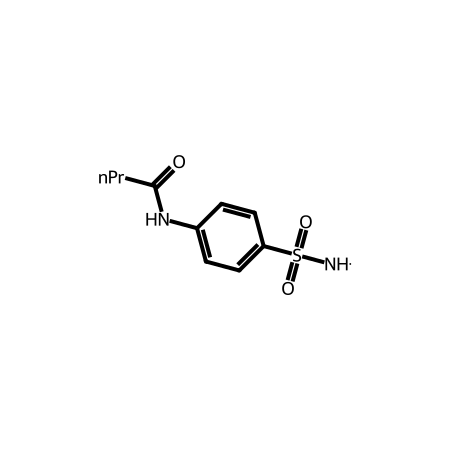 CCCC(=O)Nc1ccc(S([NH])(=O)=O)cc1